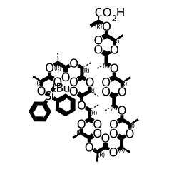 C[C@H](O[Si](c1ccccc1)(c1ccccc1)C(C)(C)C)C(=O)O[C@H](C)C(=O)O[C@H](C)C(=O)O[C@H](C)C(=O)O[C@H](C)C(=O)O[C@H](C)C(=O)O[C@H](C)C(=O)O[C@H](C)C(=O)O[C@H](C)C(=O)O[C@H](C)C(=O)O[C@H](C)C(=O)O[C@H](C)C(=O)O[C@H](C)C(=O)O[C@H](C)C(=O)O